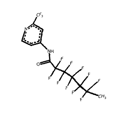 CC(F)(F)C(F)(F)C(F)(F)C(F)(F)C(F)(F)C(=O)Nc1ccnc(C(F)(F)F)c1